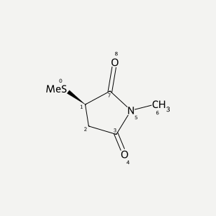 CS[C@@H]1CC(=O)N(C)C1=O